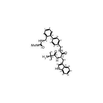 CNC(=O)NCc1ccccc1-c1ccc(CNC(=O)[C@@H](Cc2c[nH]c3ccccc23)NC(=O)C(C)(C)N)cc1